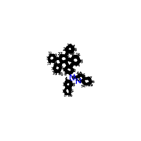 C1=Cc2ccc(N(c3ccc4c(c3)c3ccccc3c3c(-c5ccccc5)cc(-c5ccccc5)c(-c5ccccc5)c43)c3ccc4ccccc4n3)cc2CC1